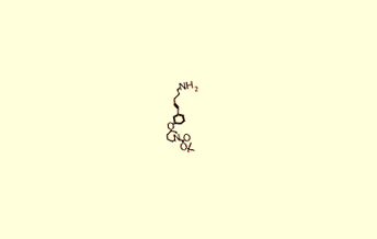 CC(C)(C)OC(=O)N1CCC[C@H](Oc2cccc(C#CCCCN)c2)C1